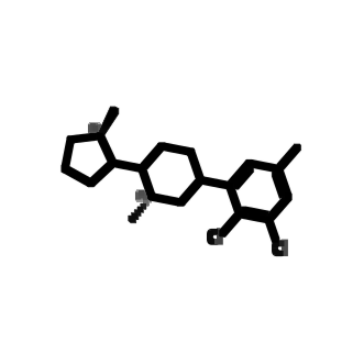 Cc1cc(Cl)c(Cl)c(C2CCC(C3CCC[C@H]3C)[C@@H](C)C2)c1